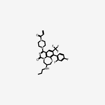 C=CC(=O)N1CCN(c2nc(=O)n3c4c(c(-c5ccc(F)cc5F)c(C(F)(F)F)cc24)SCC(NCCC)C3)CC1